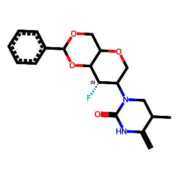 C=C1NC(=O)N(C2COC3COC(c4ccccc4)OC3[C@H]2F)CC1C